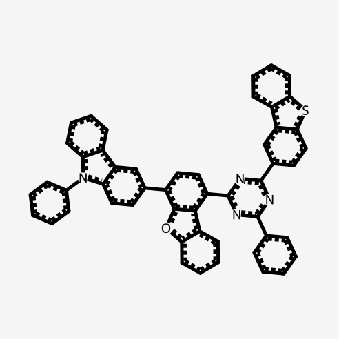 c1ccc(-c2nc(-c3ccc4sc5ccccc5c4c3)nc(-c3ccc(-c4ccc5c(c4)c4ccccc4n5-c4ccccc4)c4oc5ccccc5c34)n2)cc1